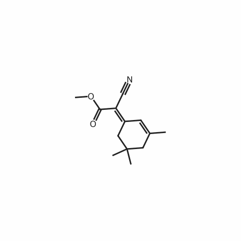 COC(=O)C(C#N)=C1C=C(C)CC(C)(C)C1